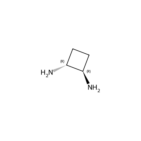 N[C@@H]1CC[C@H]1N